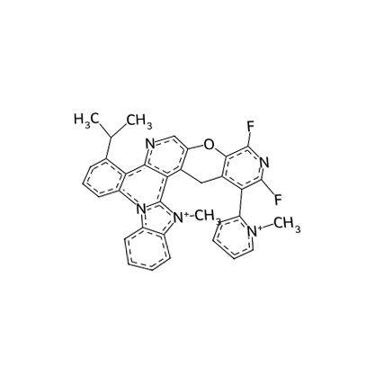 CC(C)c1cccc2c1c1ncc3c(c1c1n2c2ccccc2[n+]1C)Cc1c(c(F)nc(F)c1-c1cccc[n+]1C)O3